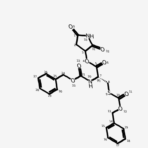 O=C1CC(OC(=O)[C@H](CSC(=O)OCc2ccccc2)NC(=O)OCc2ccccc2)C(=O)N1